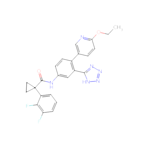 CCOc1ccc(-c2ccc(NC(=O)C3(c4cccc(F)c4F)CC3)cc2-c2nnn[nH]2)cn1